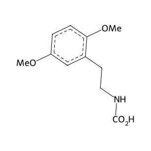 COc1ccc(OC)c(CCNC(=O)O)c1